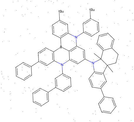 CC(C)(C)c1cccc(N2c3cc(C(C)(C)C)ccc3B3c4ccc(-c5ccccc5)cc4N(c4cccc(-c5ccccc5)c4)c4cc(N5c6ccc(-c7ccccc7)cc6C6(C)CCc7ccccc7C56C)cc2c43)c1